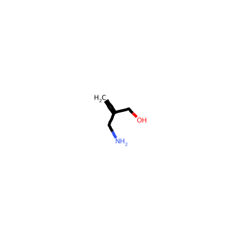 C=C(CN)CO